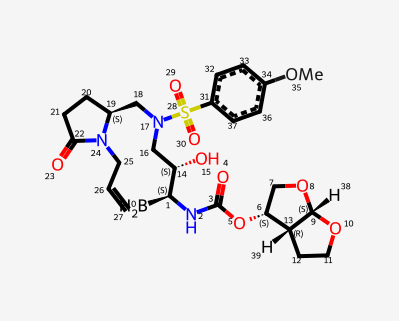 B[C@H](NC(=O)O[C@@H]1CO[C@@H]2OCC[C@@H]21)[C@@H](O)CN(C[C@@H]1CCC(=O)N1CC=C)S(=O)(=O)c1ccc(OC)cc1